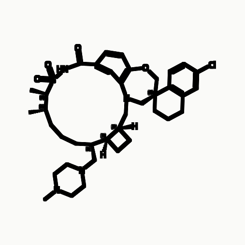 C[C@@H]1[C@@H](C)CCC[C@H](CN2CCN(C)CC2)[C@@H]2CC[C@H]2CN2C[C@@]3(CCCc4cc(Cl)ccc43)COc3ccc(cc32)C(=O)NS1(=O)=O